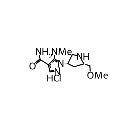 CNc1c(C(N)=O)cnn1[C@@H]1CN[C@@H](COC)C1.Cl